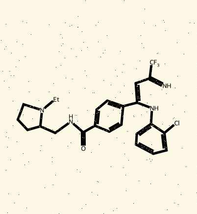 CCN1CCCC1CNC(=O)c1ccc(/C(=C/C(=N)C(F)(F)F)Nc2ccccc2Cl)cc1